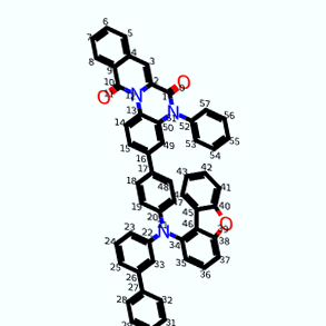 O=c1c2cc3ccccc3c(=O)n2c2ccc(-c3ccc(N(c4cccc(-c5ccccc5)c4)c4cccc5oc6ccccc6c45)cc3)cc2n1-c1ccccc1